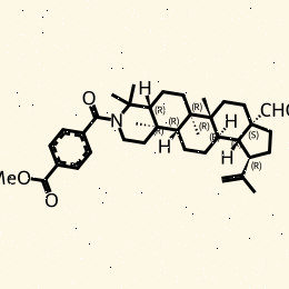 C=C(C)[C@@H]1CC[C@]2(C=O)CC[C@]3(C)[C@H](CC[C@@H]4[C@@]5(C)CCN(C(=O)c6ccc(C(=O)OC)cc6)C(C)(C)[C@@H]5CC[C@]43C)[C@@H]12